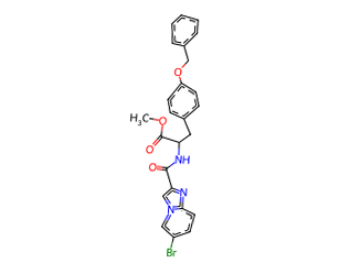 COC(=O)C(Cc1ccc(OCc2ccccc2)cc1)NC(=O)c1cn2cc(Br)ccc2n1